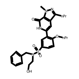 CCCOc1ccc(S(=O)(=O)N(CCO)Cc2ccccc2)cc1-c1cc2c(CCC)nn(C)c2c(=O)[nH]1